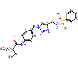 CCOC(=O)C(CC(C)C)C(=O)Nc1ccc(Cn2cc(CNS(=O)(=O)c3ccccc3)nn2)cc1